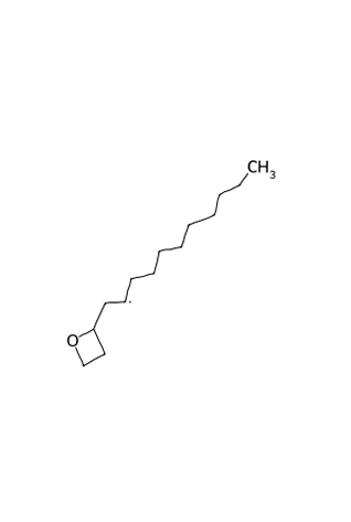 CCCCCCCCC[CH]CC1CCO1